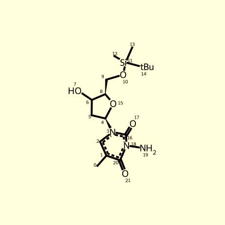 Cc1cn([C@H]2CC(O)[C@@H](CO[Si](C)(C)C(C)(C)C)O2)c(=O)n(N)c1=O